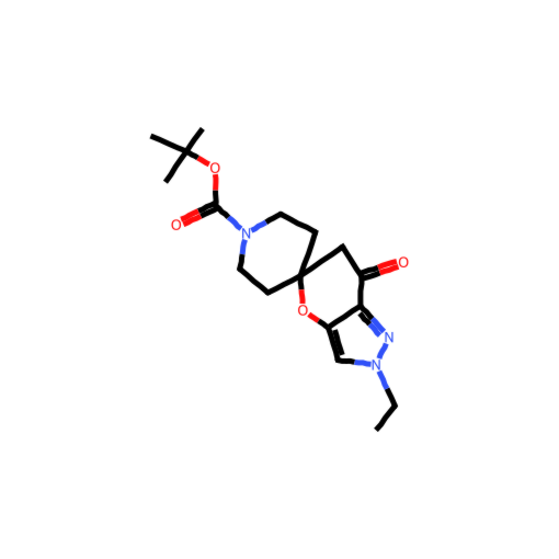 CCn1cc2c(n1)C(=O)CC1(CCN(C(=O)OC(C)(C)C)CC1)O2